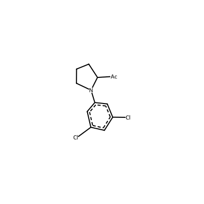 CC(=O)C1CCCN1c1cc(Cl)cc(Cl)c1